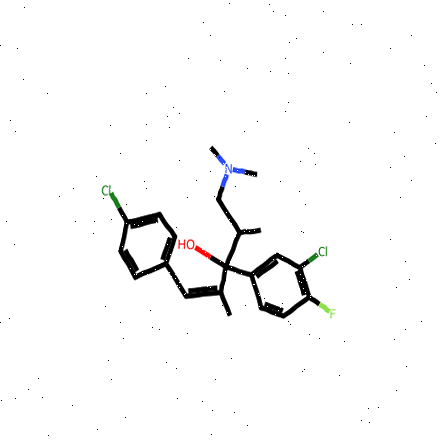 CC(=Cc1ccc(Cl)cc1)C(O)(c1ccc(F)c(Cl)c1)C(C)CN(C)C